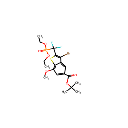 CCOP(=O)(OCC)C(F)(F)c1sc2c(OC)cc(C(=O)OC(C)(C)C)cc2c1Br